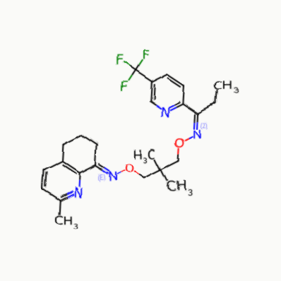 CC/C(=N/OCC(C)(C)CO/N=C1\CCCc2ccc(C)nc21)c1ccc(C(F)(F)F)cn1